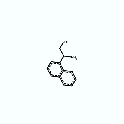 CC(C)CC(N)c1cccc2ccccc12